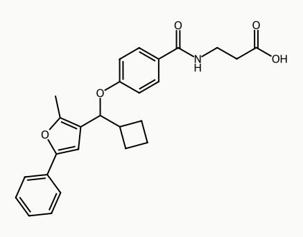 Cc1oc(-c2ccccc2)cc1C(Oc1ccc(C(=O)NCCC(=O)O)cc1)C1CCC1